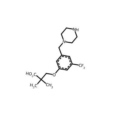 CC(C)(COc1cc(CN2CCNCC2)cc(C(F)(F)F)c1)C(=O)O